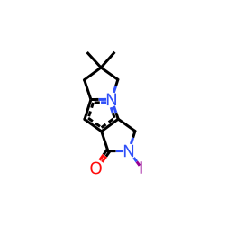 CC1(C)Cc2cc3c(n2C1)CN(I)C3=O